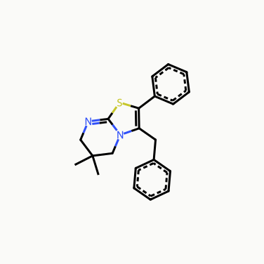 CC1(C)CN=C2SC(c3ccccc3)=C(Cc3ccccc3)N2C1